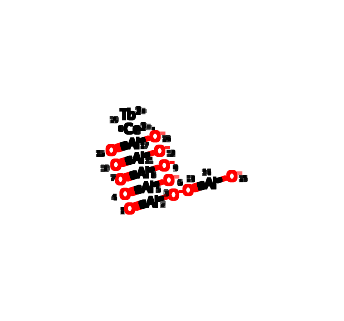 [Ce+3].[O]=[Al][O-].[O]=[Al][O-].[O]=[Al][O-].[O]=[Al][O-].[O]=[Al][O-].[O]=[Al][O-].[Tb+3]